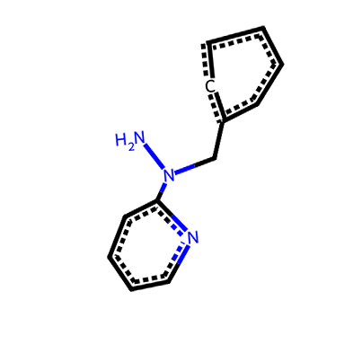 NN(Cc1ccccc1)c1ccccn1